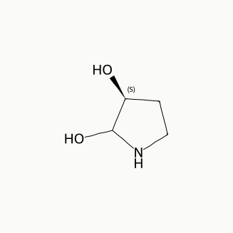 OC1NCC[C@@H]1O